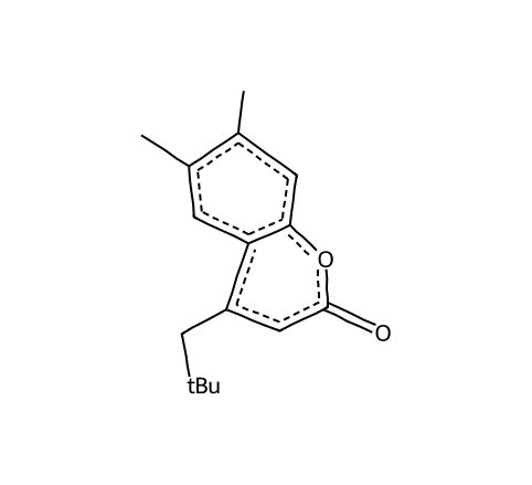 Cc1cc2oc(=O)cc(CC(C)(C)C)c2cc1C